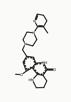 COc1cc(CN2CCN(C3=C(C)CCC=N3)CC2)cc2[nH]c(=O)c3c(c12)NCCC3